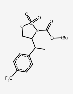 CC(c1ccc(C(F)(F)F)cc1)C1COS(=O)(=O)N1C(=O)OC(C)(C)C